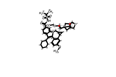 CCOCCN1CC23COCC2(C1)CN(C(=O)[C@]12CC1c1cc(OC)ccc1-c1c(C4CCCCC4)c4ccc(C(=O)NS(=O)(=O)C(C)C)cc4n1C2)C3